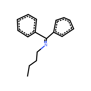 CCCCN=C(c1ccccc1)c1ccccc1